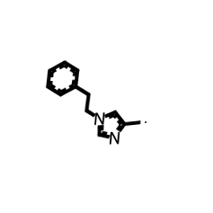 [CH2]c1cn(CCc2ccccc2)cn1